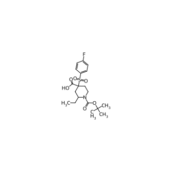 CCC1CC(C(=O)O)(S(=O)(=O)c2ccc(F)cc2)CCN1C(=O)OC(C)(C)C